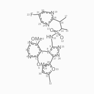 COc1ncnc(OC)c1-n1c(NS(=O)(=O)C(C)C(C)c2ncc(F)cn2)nnc1-c1ccc(C)o1